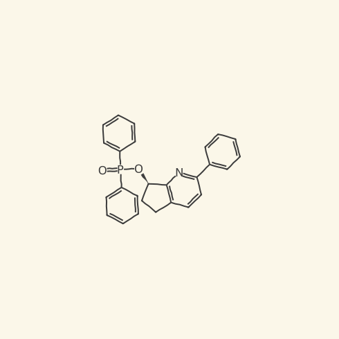 O=P(O[C@@H]1CCc2ccc(-c3ccccc3)nc21)(c1ccccc1)c1ccccc1